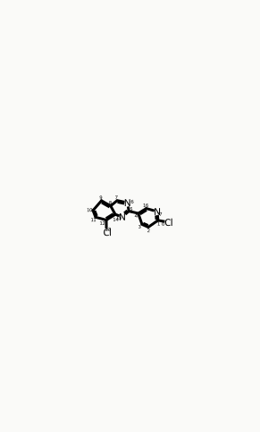 Clc1ccc(-c2ncc3cccc(Cl)c3n2)cn1